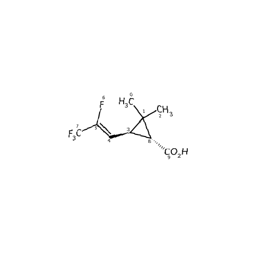 CC1(C)[C@H](/C=C(\F)C(F)(F)F)[C@H]1C(=O)O